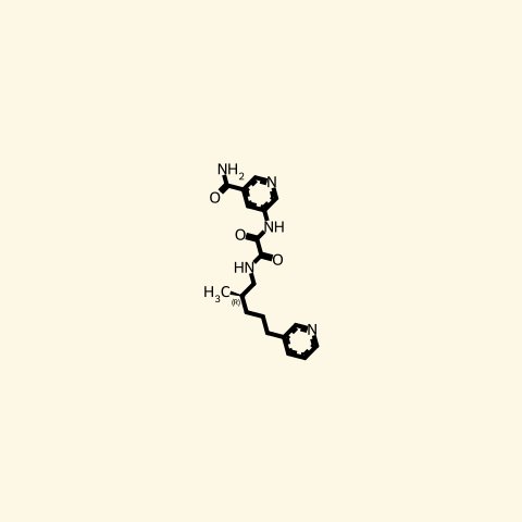 C[C@H](CCCc1cccnc1)CNC(=O)C(=O)Nc1cncc(C(N)=O)c1